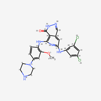 COc1cc(N2CCNCC2)ccc1Nc1nc(Nc2cc(Cl)cc(Cl)c2)cc2cn[nH]c(=O)c12